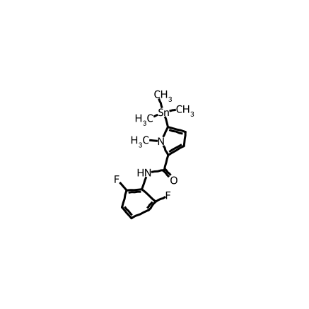 Cn1c(C(=O)Nc2c(F)cccc2F)cc[c]1[Sn]([CH3])([CH3])[CH3]